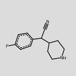 N#CC(c1ccc(F)cc1)C1CCNCC1